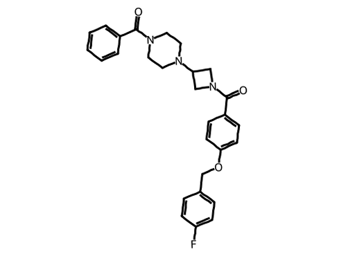 O=C(c1ccccc1)N1CCN(C2CN(C(=O)c3ccc(OCc4ccc(F)cc4)cc3)C2)CC1